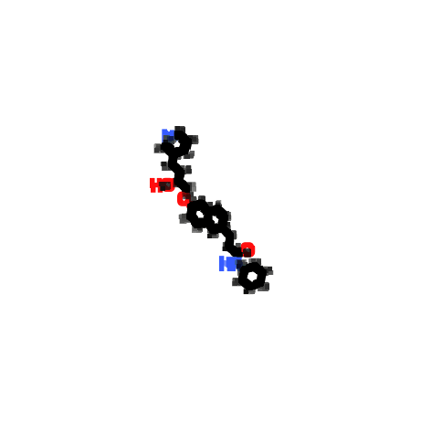 O=C(CCc1ccc2cc(OCC(O)CCc3cccnc3)ccc2c1)NC1CCCCC1